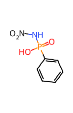 O=[N+]([O-])NP(=O)(O)c1ccccc1